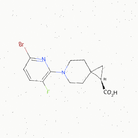 O=C(O)[C@@H]1CC12CCN(c1nc(Br)ccc1F)CC2